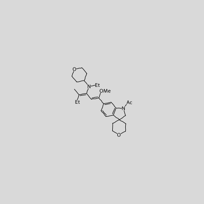 CC/C(C)=C(\C=C(/OC)c1ccc2c(c1)N(C(C)=O)CC21CCOCC1)N(CC)C1CCOCC1